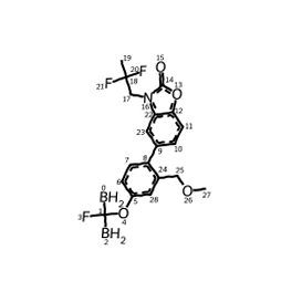 BC(B)(F)Oc1ccc(-c2ccc3oc(=O)n(CC(C)(F)F)c3c2)c(COC)c1